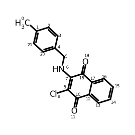 Cc1ccc(CNC2=C(Cl)C(=O)c3ccccc3C2=O)cc1